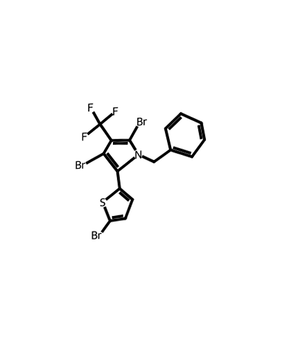 FC(F)(F)c1c(Br)c(-c2ccc(Br)s2)n(Cc2ccccc2)c1Br